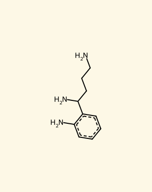 NCCCC(N)c1ccccc1N